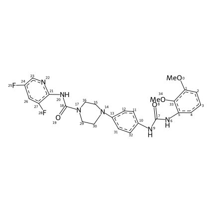 COc1cccc(NC(=O)Nc2ccc(N3CCN(C(=O)Nc4ncc(F)cc4F)CC3)cc2)c1OC